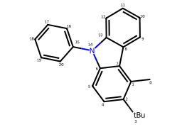 Cc1c(C(C)(C)C)ccc2c1c1ccccc1n2-c1ccccc1